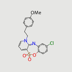 COc1ccc(CCN2C=CC=C3C2=Nc2cc(Cl)ccc2OS3(=O)=O)cc1